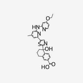 CCOc1ccnc(Nc2cc(C)cc(-c3cnc(C4(O)CCCc5cc(C(=O)O)ccc54)s3)n2)c1